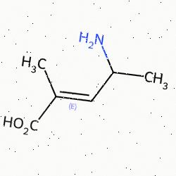 C/C(=C\C(C)N)C(=O)O